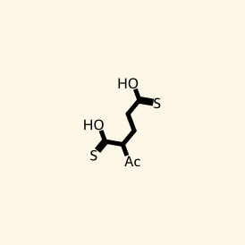 CC(=O)C(CCC(O)=S)C(O)=S